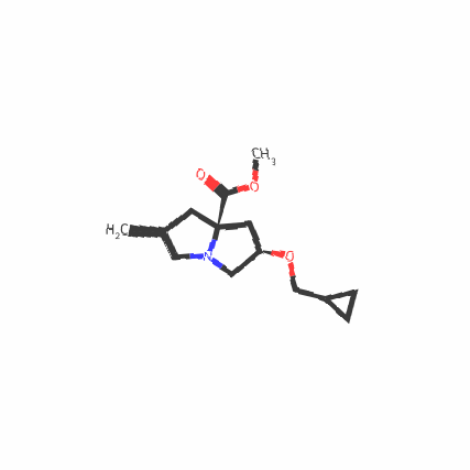 C=C1CN2C[C@H](OCC3CC3)C[C@@]2(C(=O)OC)C1